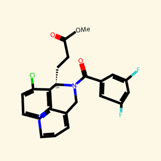 COC(=O)CC[C@@H](c1ccccc1Cl)N(Cc1cccnc1)C(=O)c1cc(F)cc(F)c1